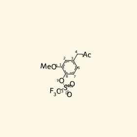 COc1cc(CC(C)=O)ccc1OS(=O)(=O)C(F)(F)F